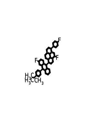 CC(C)(C)c1ccc(-c2c3ccccc3c(-c3ccc4c(F)cc5c(-c6ccc(F)cc6)ccc6ccc3c4c65)c3ccc(F)cc23)cc1